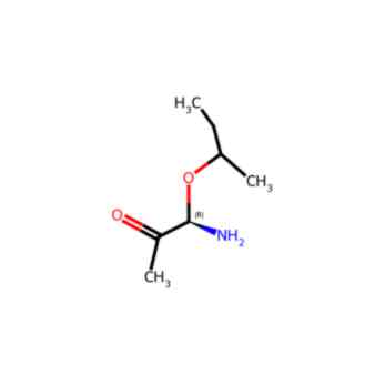 CCC(C)O[C@@H](N)C(C)=O